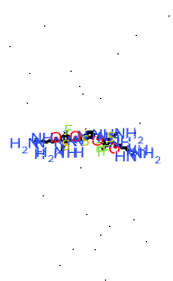 N=C(N)NCCCCC(=O)Nc1cc(C(F)(F)F)cc(NC(=O)Nc2ccc3nc(NC(=O)Nc4cc(CF)cc(NC(=O)CCCCNC(=N)N)c4SCCN)sc3c2)c1SCCN